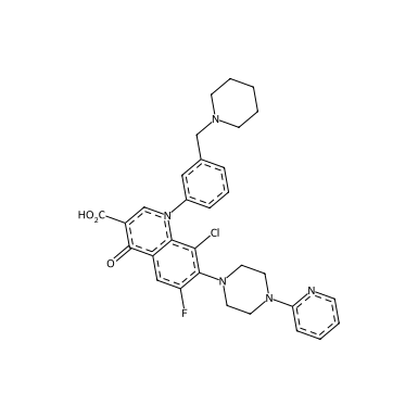 O=C(O)c1cn(-c2cccc(CN3CCCCC3)c2)c2c(Cl)c(N3CCN(c4ccccn4)CC3)c(F)cc2c1=O